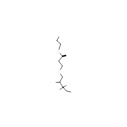 CC(C)(CO)C(O)CNCCC(=O)NCCS